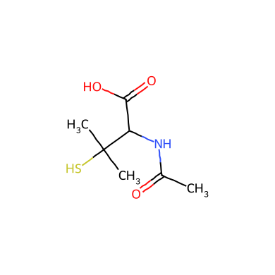 CC(=O)NC(C(=O)O)C(C)(C)S